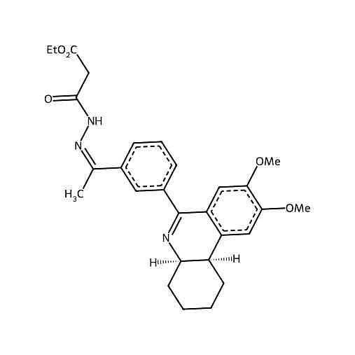 CCOC(=O)CC(=O)N/N=C(/C)c1cccc(C2=N[C@@H]3CCCC[C@@H]3c3cc(OC)c(OC)cc32)c1